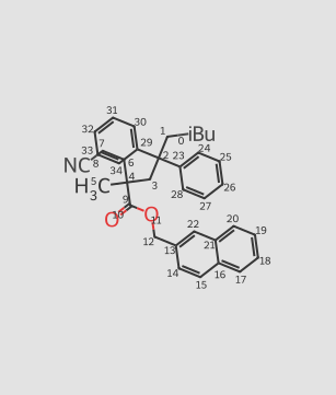 CCC(C)CC(CC(C)(CCC#N)C(=O)OCc1ccc2ccccc2c1)(c1ccccc1)c1ccccc1